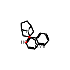 COCC1(O)CC2CCC(C1)N2c1cccc2ccccc12